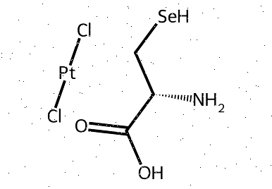 N[C@@H](C[SeH])C(=O)O.[Cl][Pt][Cl]